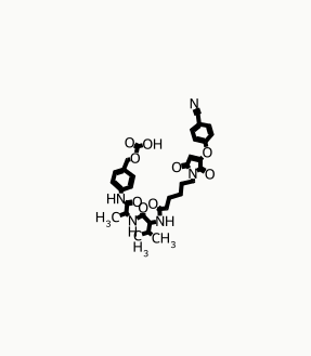 CC(NC(=O)C(NC(=O)CCCCCN1C(=O)C=C(Oc2ccc(C#N)cc2)C1=O)C(C)C)C(=O)Nc1ccc(COC(=O)O)cc1